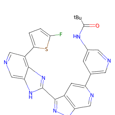 CC(C)(C)C(=O)Nc1cncc(-c2cc3c(-c4nc5c(-c6ccc(F)s6)cncc5[nH]4)n[nH]c3cn2)c1